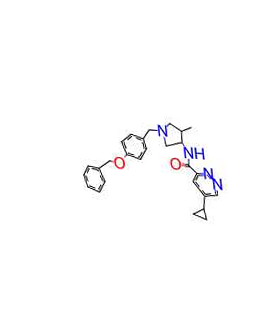 CC1CN(Cc2ccc(OCc3ccccc3)cc2)CC1NC(=O)c1cc(C2CC2)cnn1